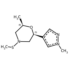 CSN1C[C@@H](C)O[C@@H](c2cnn(C)c2)C1